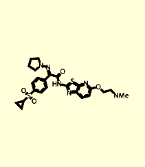 CNCCOc1ccc2nc(NC(=O)/C(=N/N3CCCC3)c3ccc(S(=O)(=O)C4CC4)cc3)sc2n1